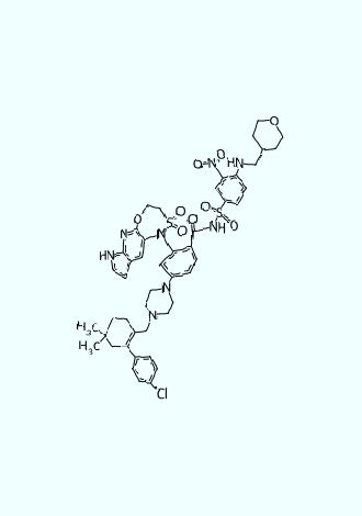 CC1(C)CCC(CN2CCN(c3ccc(C(=O)NS(=O)(=O)c4ccc(NCC5CCOCC5)c([N+](=O)[O-])c4)c(N4c5cc6cc[nH]c6nc5OCCS4(=O)=O)c3)CC2)=C(c2ccc(Cl)cc2)C1